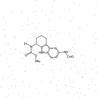 CCCCOC(=O)N(CC)C1CCCc2c1[nH]c1ccc(NC=O)cc21